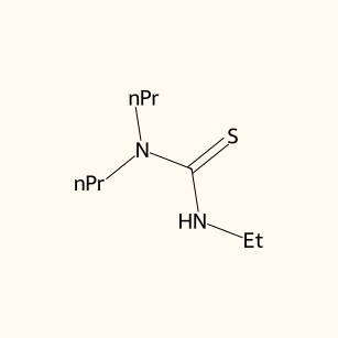 CCCN(CCC)C(=S)NCC